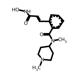 CN1CCC(N(C)C(=O)c2ccccc2/C=C/C(=O)NO)CC1